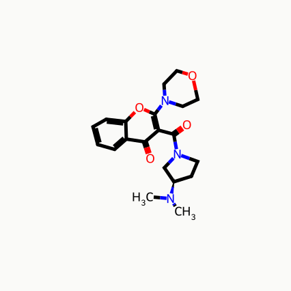 CN(C)[C@@H]1CCN(C(=O)c2c(N3CCOCC3)oc3ccccc3c2=O)C1